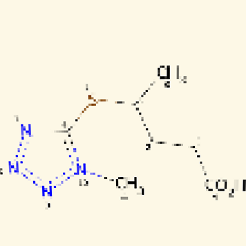 CC(CCC(=O)O)Sc1nnnn1C